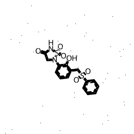 O=C1CN(c2cccc(CS(=O)(=O)c3ccccc3)c2O)S(=O)(=O)N1